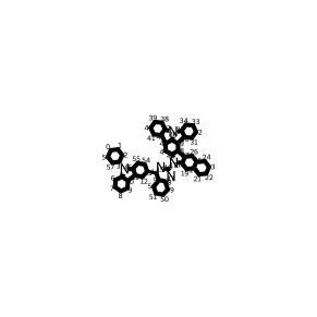 c1ccc(-n2c3ccccc3c3cc(-c4nc(-n5c6cc7ccccc7cc6c6c7c8ccccc8n8c9ccccc9c(cc65)c78)nc5ccccc45)ccc32)cc1